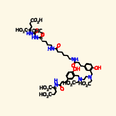 O=CO[C@H](CCCCNC(=O)CCCCCNC(=O)CCc1ccc(O)c(CN(CCN(CC(=O)O)Cc2cc(CCC(=O)N[C@@H](CCC(=O)O)C(=O)O)ccc2O)CC(=O)O)c1)NC(=O)N[C@@H](CCC(=O)O)C(=O)O